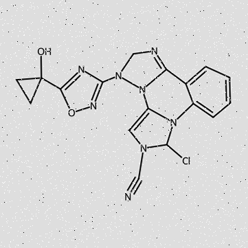 N#CN1C=C2N(c3ccccc3C3=NCN(c4noc(C5(O)CC5)n4)N23)C1Cl